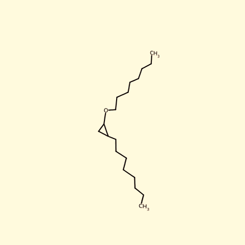 CCCCCCCCOC1CC1CCCCCCCC